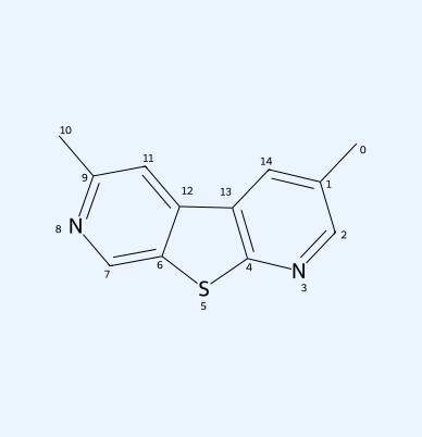 Cc1cnc2sc3cnc(C)cc3c2c1